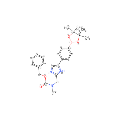 CCCN(Cc1ncc(-c2ccc(B3OC(C)(C)C(C)(C)O3)cc2)[nH]1)C(=O)OCc1ccccc1